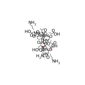 CC[C@H](C)[C@H](NC(=O)[C@@H](NC(=O)[C@H](CCC(=O)O)NC(=O)[C@H](CCC(=O)O)NC(=O)[C@H](CC(C)C)NC(=O)[C@H](CC(=O)O)NC(=O)[C@H](CC(C)C)NC(=O)[C@H](CCCCN)NC(=O)[C@H](C)N)C(C)C)C(=O)N[C@@H](CCCCN)C(=O)O